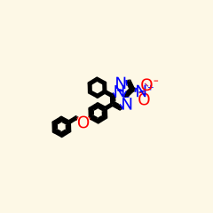 O=[N+]([O-])c1cnn2c(C3CCCCC3)c(-c3ccc(OCc4ccccc4)cc3)cnc12